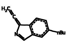 C=C=C1N=Cc2cc(CCCC)ccc21